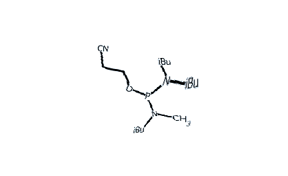 CCC(C)N(C)P(OCCC#N)N(C(C)CC)C(C)CC